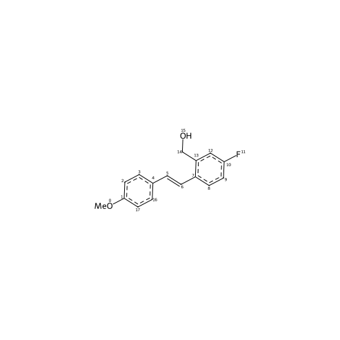 COc1ccc(C=Cc2ccc(F)cc2CO)cc1